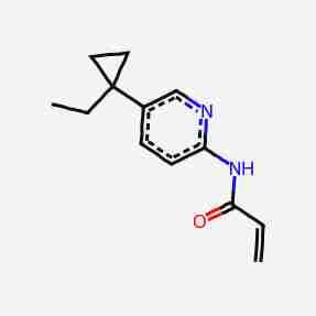 C=CC(=O)Nc1ccc(C2(CC)CC2)cn1